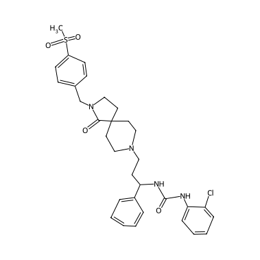 CS(=O)(=O)c1ccc(CN2CCC3(CCN(CCC(NC(=O)Nc4ccccc4Cl)c4ccccc4)CC3)C2=O)cc1